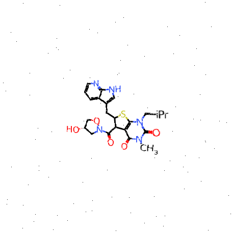 CC(C)Cn1c2c(c(=O)n(C)c1=O)C(C(=O)N1C[C@H](O)CO1)C(Cc1c[nH]c3ncccc13)S2